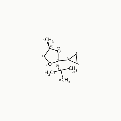 C[C@@H]1CO[C@@](C2CC2)(C(C)(C)C)O1